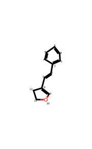 C(=Cc1ccccc1)C1=COCC1